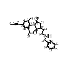 CC#Cc1cc(C)c(C2C(=O)CC(CCNCc3ccccn3)C2=O)c(CC)c1